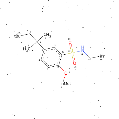 CCCCCCCCOc1ccc(C(C)(C)CC(C)(C)C)cc1S(=O)(=O)NCC(C)C